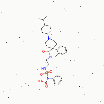 CC(C)C1CCC(N2CCC3(CC2)C(=O)N(CCNS(=O)(=O)N(C(=O)O)c2ccccc2)Cc2ccccc23)CC1